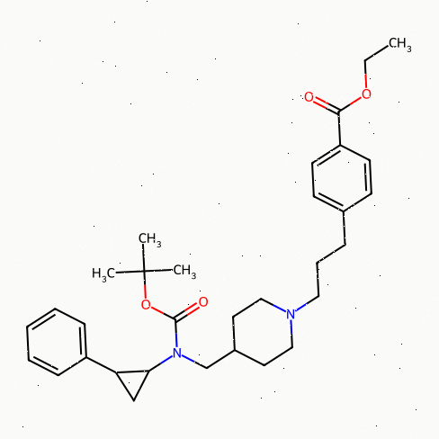 CCOC(=O)c1ccc(CCCN2CCC(CN(C(=O)OC(C)(C)C)C3CC3c3ccccc3)CC2)cc1